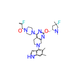 C=C(F)C(=O)N1CCN(c2nc(OC[C@@H]3CC(C)(F)CN3C)nc3c2CCN(c2c(C)c(C)cc4[nH]ccc24)C3)CC1